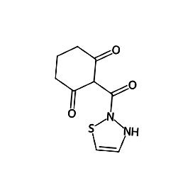 O=C1CCCC(=O)C1C(=O)N1NC=CS1